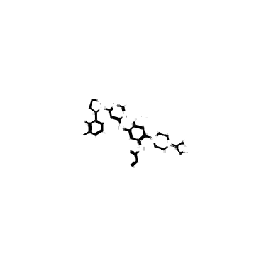 C=CC(=O)Nc1cc(Nc2cc(N3OCCC3c3cccc(C)c3F)ncn2)c(OC)cc1N1CCN(C2COC2)CC1